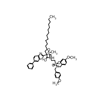 CCCCCCCCCCCCCCC(C(=O)NCCS(=O)(=O)N(Cc1ccc(OC)cc1)Cc1ccc(OC)cc1)(c1nc2ccc(-c3ccccc3)cc2s1)S(C)(=O)=O